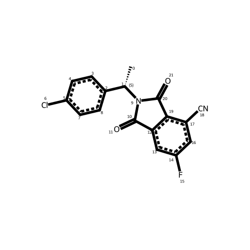 C[C@@H](c1ccc(Cl)cc1)N1C(=O)c2cc(F)cc(C#N)c2C1=O